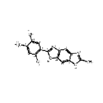 Cc1nc2cc3nc(-c4cc(O)c(C)cc4O)oc3cc2o1